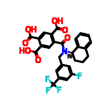 O=C(O)c1cc(C(=O)O)c(C(=O)N(Cc2cc(F)cc(C(F)(F)F)c2)[C@H]2CCCc3ccccc32)cc1C(=O)O